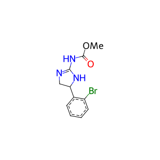 COC(=O)NC1=NCC(c2ccccc2Br)N1